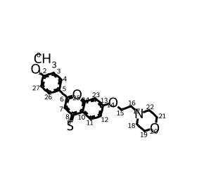 COc1ccc(-c2cc(=S)c3ccc(OCCN4CCOCC4)cc3o2)cc1